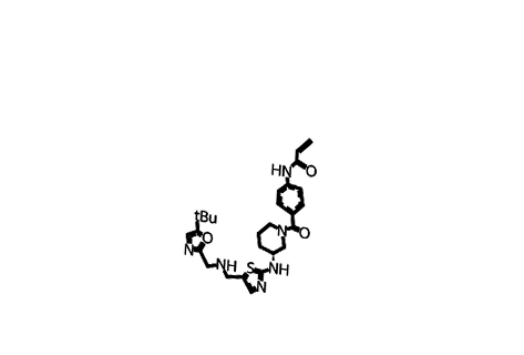 C=CC(=O)Nc1ccc(C(=O)N2CCC[C@@H](Nc3ncc(CNCc4ncc(C(C)(C)C)o4)s3)C2)cc1